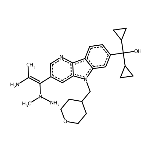 C/C(N)=C(\c1cnc2c3ccc(C(O)(C4CC4)C4CC4)cc3n(CC3CCOCC3)c2c1)N(C)N